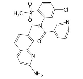 CS(=O)(=O)c1ccc(Cl)cc1N(Cc1ccc2ccc(N)nc2c1)C(=O)c1cccnc1